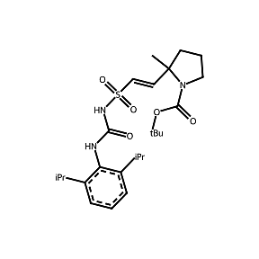 CC(C)c1cccc(C(C)C)c1NC(=O)NS(=O)(=O)C=CC1(C)CCCN1C(=O)OC(C)(C)C